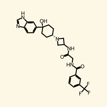 O=C(CNC(=O)c1cccc(C(F)(F)F)c1)NC1CN([C@H]2CC[C@@](O)(c3ccc4nc[nH]c4c3)CC2)C1